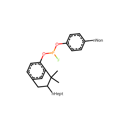 CCCCCCCCCc1ccc(OP(F)Oc2ccc3cc2C(C)(C)C(CCCCCCC)C3)cc1